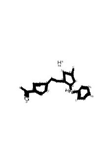 CC(=O)c1ccc(CCC2CC(C)CC2Nc2ccccc2)cc1.[H+]